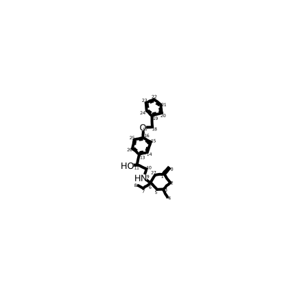 C=C1CC(C)CC(CC)(NCC(O)c2ccc(OCc3ccccc3)cc2)C1